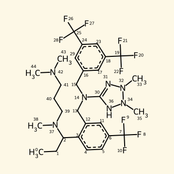 CCC(c1ccc(C(F)(F)F)cc1CN(Cc1cc(C(F)(F)F)cc(C(F)(F)F)c1)C1=NN(C)N(C)N1)N(C)CCCN(C)C